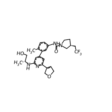 Cc1ccc(NC(=O)N2CC[C@@H](CC(F)(F)F)C2)cc1-c1cc(N[C@H](C)CO)nc(C2=CCOC2)c1